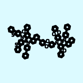 c1ccc(-c2ccc(N3B4c5cc6c(cc5N(c5ccc7c(c5)sc5ccccc57)c5c4c(cc4c5oc5ccccc54)-c4c3ccc3c(-c5ccc7c(c5)Oc5cc(N8c9cc%10c(cc9B9c%11c8cc8c(oc%12ccccc%128)c%11-c8ccc%11ccccc%11c8N9c8ccc(-c9ccccc9)cc8)Oc8ccccc8O%10)ccc5O7)cccc43)sc3ccccc36)cc2)cc1